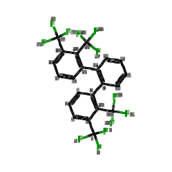 FC(F)(F)c1cccc(-c2[c]cccc2-c2cccc(C(F)(F)F)c2C(F)(F)F)c1C(F)(F)F